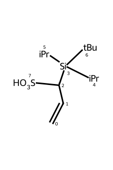 C=C[C]([Si](C(C)C)(C(C)C)C(C)(C)C)S(=O)(=O)O